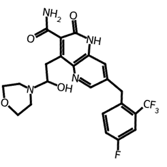 NC(=O)c1c(CC(O)N2CCOCC2)c2ncc(Cc3ccc(F)cc3C(F)(F)F)cc2[nH]c1=O